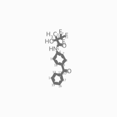 CC(O)(C(=O)Nc1ccc(C(=O)c2ccccc2)cc1)C(F)(F)F